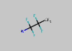 [N]C(F)(F)C(F)(F)C(F)(F)F